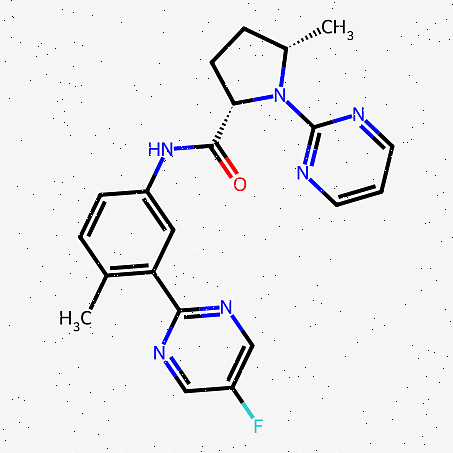 Cc1ccc(NC(=O)[C@@H]2CC[C@H](C)N2c2ncccn2)cc1-c1ncc(F)cn1